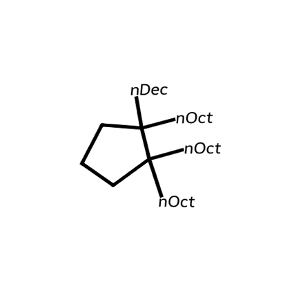 CCCCCCCCCCC1(CCCCCCCC)CCCC1(CCCCCCCC)CCCCCCCC